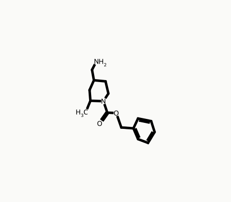 CC1CC(CN)CCN1C(=O)OCc1ccccc1